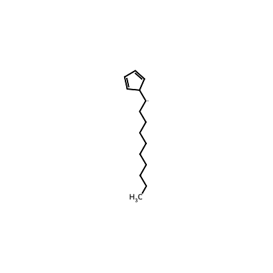 CCCCCCCCC[CH]C1C=CC=C1